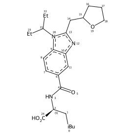 CCC(C)C[C@H](NC(=O)c1ccc2c(c1)nc(CC1CCCO1)n2C(CC)CC)C(=O)O